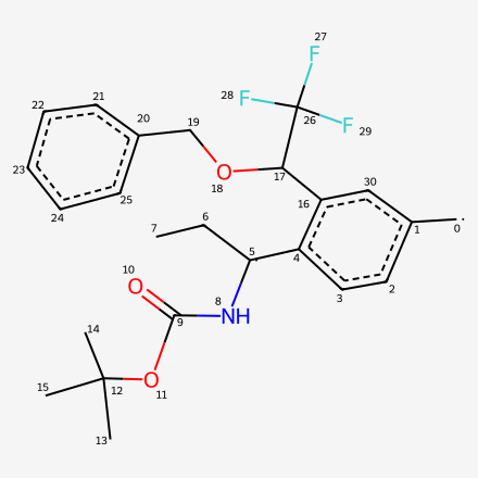 [CH2]c1ccc([C](CC)NC(=O)OC(C)(C)C)c(C(OCc2ccccc2)C(F)(F)F)c1